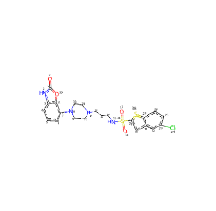 O=c1[nH]c2cccc(N3CCN(CCCNS(=O)(=O)c4cc5cc(Cl)ccc5s4)CC3)c2o1